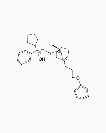 O[C@](CO[C@H]1C[N+]2(CCCOc3ccccc3)CCC1CC2)(c1ccccc1)C1CCCC1